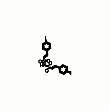 O=S(=O)(C=Cc1ccc(I)cc1)NS(=O)(=O)C=Cc1ccc(I)cc1